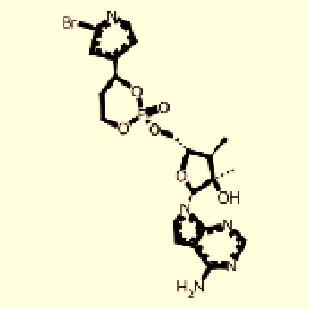 C[C@@H]1[C@@H](COP2(=O)OCC[C@@H](c3ccnc(Br)c3)O2)O[C@@H](n2ccc3c(N)ncnc32)[C@]1(C)O